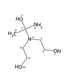 CC(N)(O)N(CCO)CCO